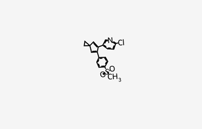 CS(=O)(=O)c1ccc(C2=CC3(C=C2c2ccc(Cl)nc2)CC3)cc1